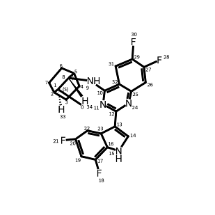 C[C@H]1C2CCC(CC2)[C@@H]1Nc1nc(-c2c[nH]c3c(F)cc(F)cc23)nc2cc(F)c(F)cc12